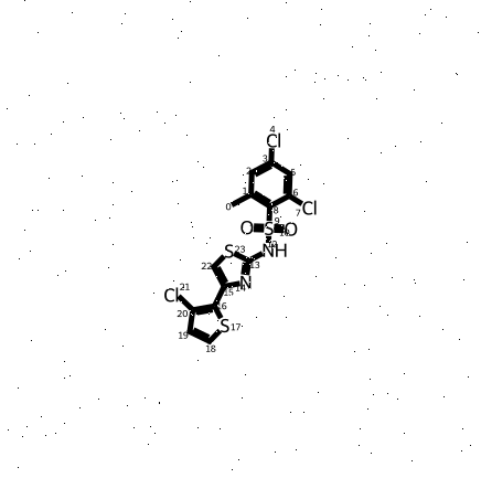 Cc1cc(Cl)cc(Cl)c1S(=O)(=O)Nc1nc(-c2sccc2Cl)cs1